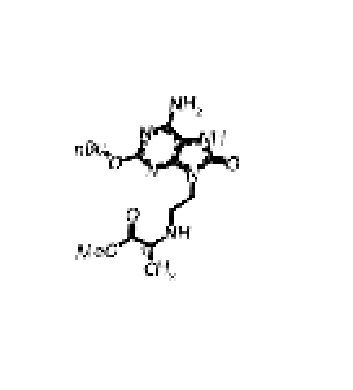 CCCCOc1nc(N)c2[nH]c(=O)n(CCN[C@@H](C)C(=O)OC)c2n1